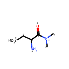 CN(C)C(=O)C(N)CC(=O)O